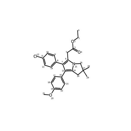 CCOC(=O)Cc1c(-c2ccc(Cl)cc2)c(-c2ccc(OC)cc2)c2n1CC(C)(C)C2